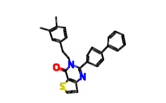 Cc1ccc(CCn2c(-c3ccc(-c4ccccc4)cc3)nc3ccsc3c2=O)cc1C